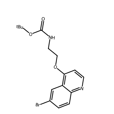 CC(C)(C)OC(=O)NCCOc1ccnc2ccc(Br)cc12